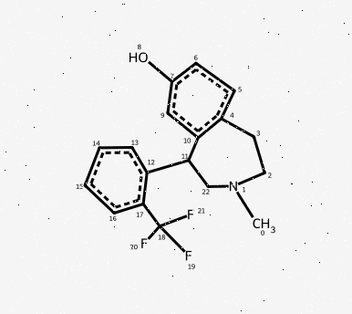 CN1CCc2ccc(O)cc2C(c2ccccc2C(F)(F)F)C1